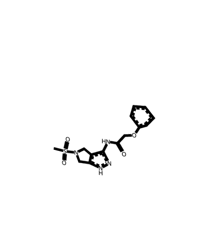 CS(=O)(=O)N1Cc2[nH]nc(NC(=O)COc3ccccc3)c2C1